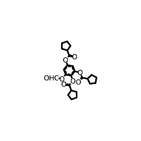 O=COc1cc(OC(=O)C2CCCC2)cc(OC(=O)C2CCCC2)c1OC(=O)C1CCCC1